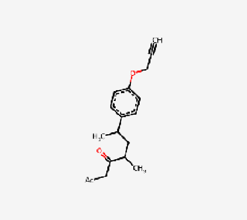 C#CCOc1ccc(C(C)CC(C)C(=O)CC(C)=O)cc1